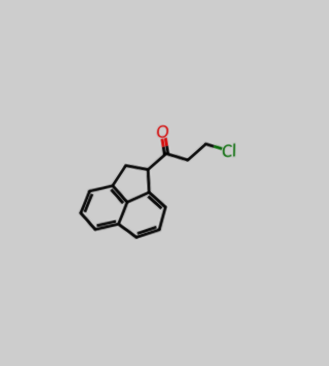 O=C(CCCl)C1Cc2cccc3cccc1c23